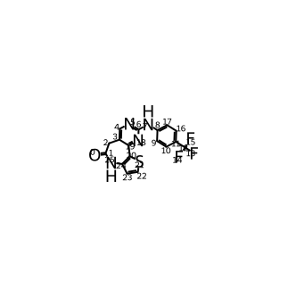 O=C1Cc2cnc(Nc3ccc(C(F)(F)F)cc3)nc2-c2sccc2N1